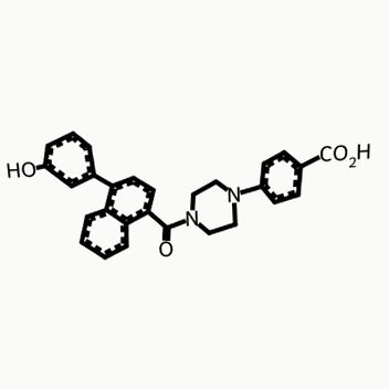 O=C(O)c1ccc(N2CCN(C(=O)c3ccc(-c4cccc(O)c4)c4ccccc34)CC2)cc1